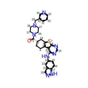 O=C([C@H]1CCc2c(sc3ncnc(Nc4ccc5[nH]ncc5c4)c23)C1)N1CCN(Cc2cccnc2)CC1